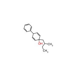 CCC(C)CC1(O)C=CC(c2ccccc2)C=C1